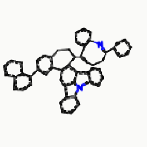 C1=C(/C2CCc3ccc(-c4cccc5ccccc45)cc3-c3cc4c5ccccc5n5c6ccccc6c(c32)c45)c2ccccc2/N=C(/c2ccccc2)CC/1